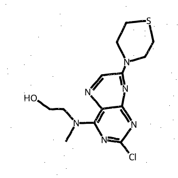 CN(CCO)c1nc(Cl)nc2nc(N3CCSCC3)cnc12